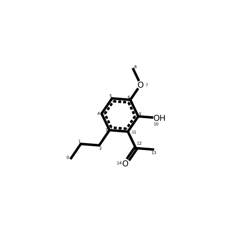 CCCc1ccc(OC)c(O)c1C(C)=O